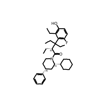 CCc1c(O)ccc(F)c1C(CC)(CC)[C@@H](CC)C(=O)N1CC[C@@H](c2ccccc2)C[C@H]1C1CCCCC1